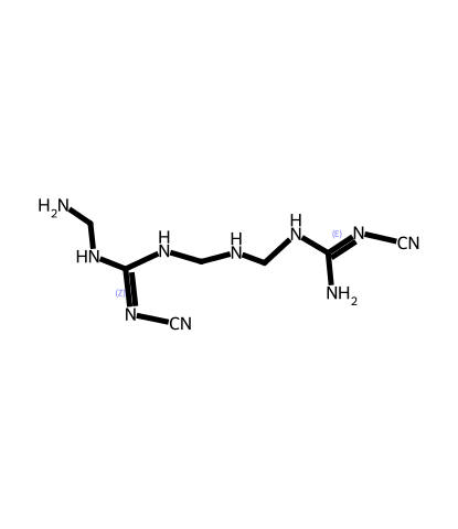 N#C/N=C(/NCN)NCNCN/C(N)=N/C#N